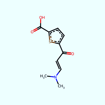 CN(C)/C=C/C(=O)c1ccc(C(=O)O)s1